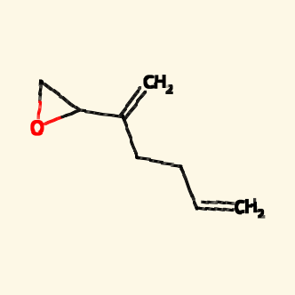 C=CCCC(=C)C1CO1